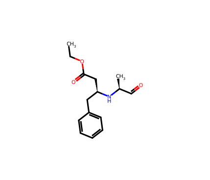 CCOC(=O)C[C@H](Cc1ccccc1)N[C@@H](C)C=O